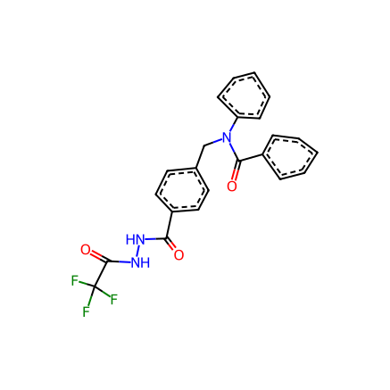 O=C(NNC(=O)C(F)(F)F)c1ccc(CN(C(=O)c2ccccc2)c2ccccc2)cc1